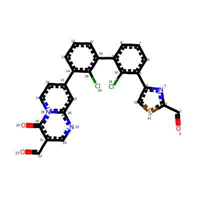 O=Cc1nc(-c2cccc(-c3cccc(-c4ccn5c(=O)c(C=O)cnc5c4)c3Cl)c2Cl)cs1